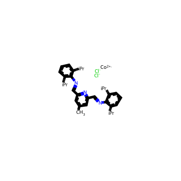 Cc1cc(C=Nc2c(C(C)C)cccc2C(C)C)nc(C=Nc2c(C(C)C)cccc2C(C)C)c1.[Cl-].[Cl-].[Co+2]